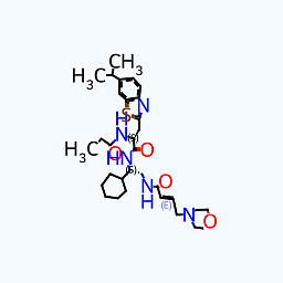 CCC(=O)N[C@@H](Cc1nc2ccc(C(C)C)cc2s1)C(=O)N[C@H](CNC(=O)/C=C/CN1CCOCC1)C1CCCCC1